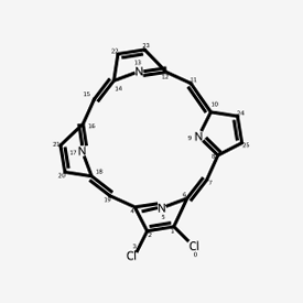 ClC1=C(Cl)C2=NC1=CC1=NC(=CC3=NC(=CC4=NC(=C2)C=C4)C=C3)C=C1